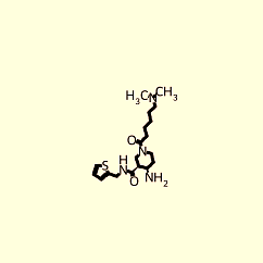 CN(C)CCCCCC(=O)N1CC[C@@H](N)[C@@H](C(=O)NCc2cccs2)C1